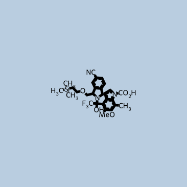 COc1cc(C)c2c(ccn2C(=O)O)c1C(O)(N1Cc2ccc(C#N)cc2C1COCC[Si](C)(C)C)C(F)(F)F